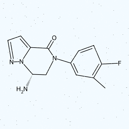 Cc1cc(N2C[C@H](N)n3nccc3C2=O)ccc1F